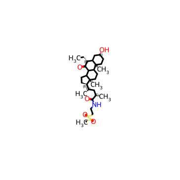 CC[C@H]1C(=O)C2C(CC[C@@]3(C)C2CC[C@@H]3[C@H](C)C[C@H](C)C(=O)NCCS(C)(=O)=O)[C@@]2(C)CC[C@@H](O)CC12